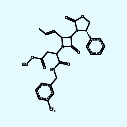 CC=CC1C(N2C(=O)OC[C@@H]2c2ccccc2)C(=O)N1C(CC(=O)OC(C)(C)C)C(=O)NCc1cccc(C(F)(F)F)c1